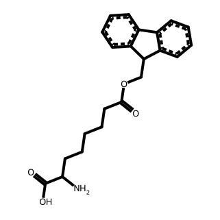 NC(CCCCCC(=O)OCC1c2ccccc2-c2ccccc21)C(=O)O